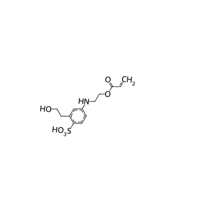 C=CC(=O)OCCNc1ccc(S(=O)(=O)O)c(CCO)c1